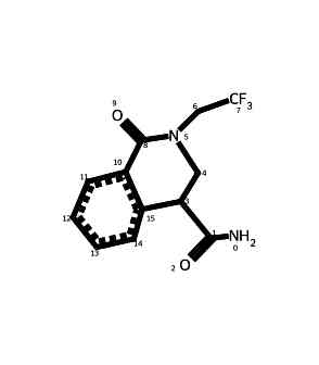 NC(=O)C1CN(CC(F)(F)F)C(=O)c2ccccc21